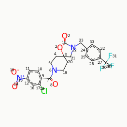 O=C1OC2(CCN(C(=O)c3ccc([N+](=O)[O-])cc3Cl)CC2)CN1Cc1ccc(C(F)(F)F)cc1